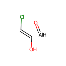 OC=CCl.[O]=[AlH]